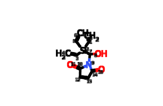 C=C[Si](C=C)(C=C)C(O)N1C(=O)C=CC1=O